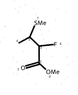 COC(=O)C(F)C(C)SC